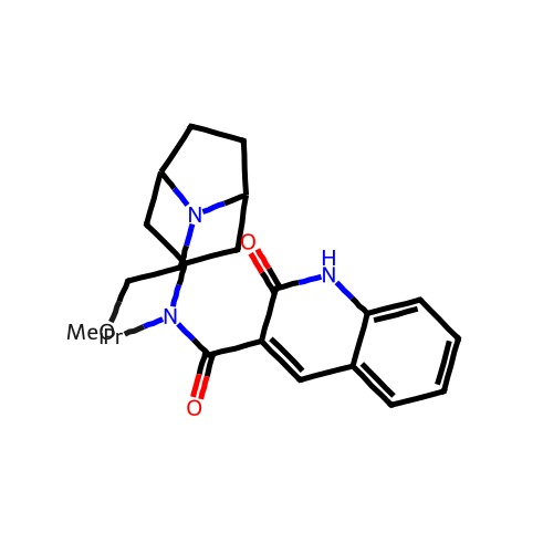 COCCN1C2CCC1CC(N(C(=O)c1cc3ccccc3[nH]c1=O)C(C)C)C2